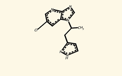 CC(Cc1cc[nH]n1)n1cnc2ncc(Cl)cc21